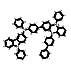 c1ccc(-c2ccc(N3c4ccccc4N(c4ccccc4)c4ccc(-c5ccc(N(c6ccccc6)c6ccc7c(c6)c6ccccc6n7-c6ccccc6)cc5)cc43)cc2)cc1